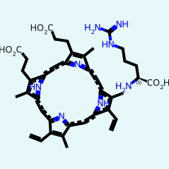 C=CC1=C(C)c2cc3[nH]c(cc4nc(cc5[nH]c(cc1n2)c(C)c5CCC(=O)O)C(CCC(=O)O)=C4C)c(C)c3C=C.N=C(N)NCCC[C@H](N)C(=O)O